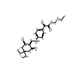 CCOCOC(=O)C(=O)c1ccc(NC=C2C(=O)CC(CC)(CC)CC2=O)cc1